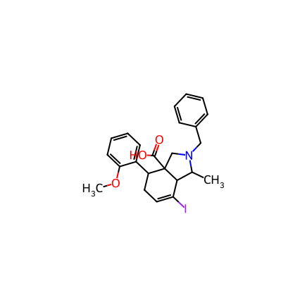 COc1ccccc1C1CC=C(I)C2C(C)N(Cc3ccccc3)CC12C(=O)O